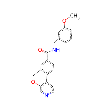 COc1cccc(CNC(=O)c2ccc3c(c2)COc2cnccc2-3)c1